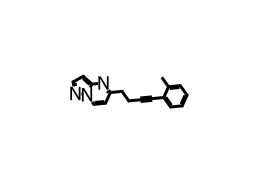 Cc1ccccc1C#CCCc1ccn2nccc2n1